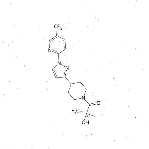 C[C@@](O)(C(=O)N1CCC(c2ccn(-c3ccc(C(F)(F)F)cn3)n2)CC1)C(F)(F)F